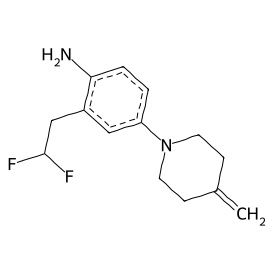 C=C1CCN(c2ccc(N)c(CC(F)F)c2)CC1